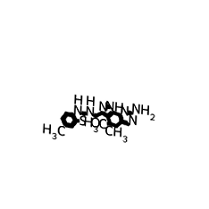 Cc1ccc2c(c1)SC(NC(=O)c1n[nH]c3c1C(C)(C)Cc1cnc(N)nc1-3)N2